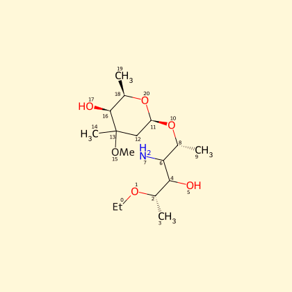 CCO[C@@H](C)C(O)C(N)[C@@H](C)O[C@H]1CC(C)(OC)[C@@H](O)[C@@H](C)O1